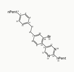 CCCCCc1ccc(CCc2ccc(-c3cnc(CCCCC)nc3)c(Br)c2)cc1